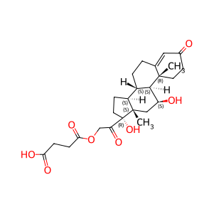 C[C@]12CCC(=O)C=C1CC[C@@H]1[C@@H]2[C@@H](O)C[C@@]2(C)[C@H]1CC[C@]2(O)C(=O)COC(=O)CCC(=O)O